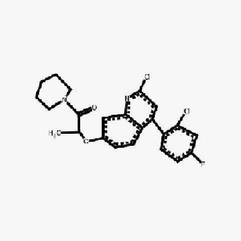 CC(Oc1ccc2c(-c3ccc(F)cc3Cl)cc(Cl)nc2c1)C(=O)N1CCCCC1